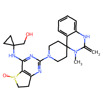 C=C1Nc2ccccc2C2(CCN(c3nc4c(c(NC5(CO)CC5)n3)[S+]([O-])CC4)CC2)N1C